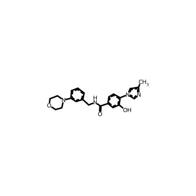 Cc1cn(-c2ccc(C(=O)NCc3cccc(N4CCOCC4)c3)cc2O)cn1